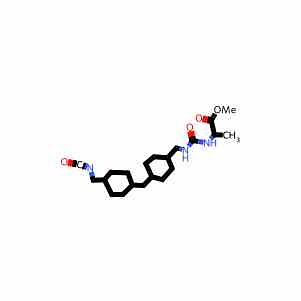 COC(=O)C(C)NC(=O)NCC1CCC(CC2CCC(CN=C=O)CC2)CC1